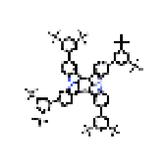 CC(C)(C)c1cc(-c2ccc3c(c2)c2c4c5ccc(-c6cc(C(C)(C)C)cc(C(C)(C)C)c6)cc5n5c6ccc(-c7cc(C(C)(C)C)cc(C(C)(C)C)c7)cc6c(c6c7ccc(-c8cc(C(C)(C)C)cc(C(C)(C)C)c8)cc7n3c26)c45)cc(C(C)(C)C)c1